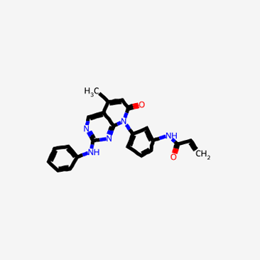 C=CC(=O)Nc1cccc(-n2c(=O)cc(C)c3cnc(Nc4ccccc4)nc32)c1